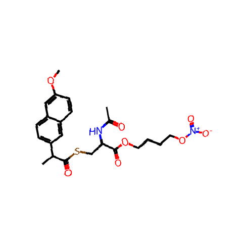 COc1ccc2cc(C(C)C(=O)SCC(NC(C)=O)C(=O)OCCCCO[N+](=O)[O-])ccc2c1